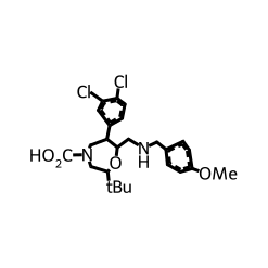 COc1ccc(CNCC2OC(C(C)(C)C)CN(C(=O)O)CC2c2ccc(Cl)c(Cl)c2)cc1